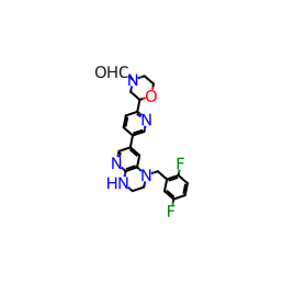 O=CN1CCOC(c2ccc(-c3cnc4c(c3)N(Cc3cc(F)ccc3F)CCN4)cn2)C1